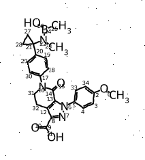 COc1ccc(-n2nc(C(=O)O)c3c2C(=O)N(c2ccc(C4(N(C)B(C)O)CC4)cc2)CC3)cc1